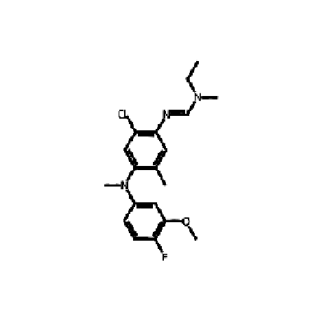 CCN(C)C=Nc1cc(C)c(N(C)c2ccc(F)c(OC)c2)cc1Cl